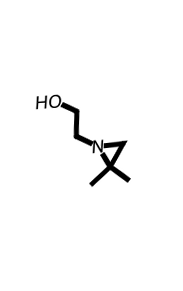 CC1(C)CN1CCO